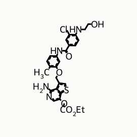 CCOC(=O)Oc1cnc(N)c2c(COc3cc(NC(=O)c4ccc(NCCO)c(Cl)c4)ccc3C)csc12